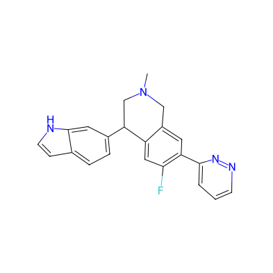 CN1Cc2cc(-c3cccnn3)c(F)cc2C(c2ccc3cc[nH]c3c2)C1